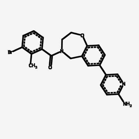 Cc1c(Br)cccc1C(=O)N1CCOc2ccc(-c3ccc(N)nc3)cc2C1